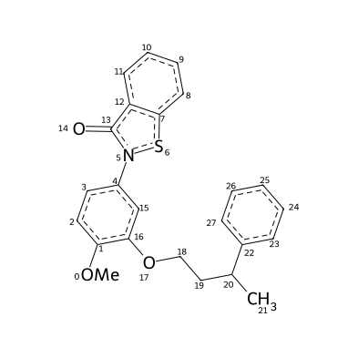 COc1ccc(-n2sc3ccccc3c2=O)cc1OCCC(C)c1ccccc1